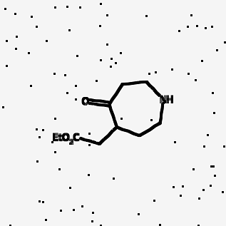 CCOC(=O)CC1CCNCCC1=O